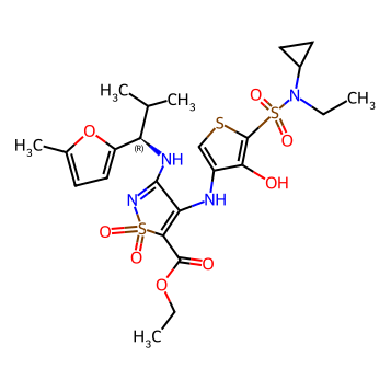 CCOC(=O)C1=C(Nc2csc(S(=O)(=O)N(CC)C3CC3)c2O)C(N[C@@H](c2ccc(C)o2)C(C)C)=NS1(=O)=O